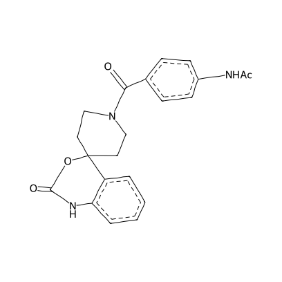 CC(=O)Nc1ccc(C(=O)N2CCC3(CC2)OC(=O)Nc2ccccc23)cc1